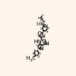 Cc1ccc(-n2cc(NC(=O)c3coc(-c4ccnc(NCC5CC5)c4)n3)c(C#N)n2)cc1